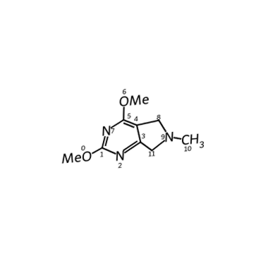 COc1nc2c(c(OC)n1)CN(C)C2